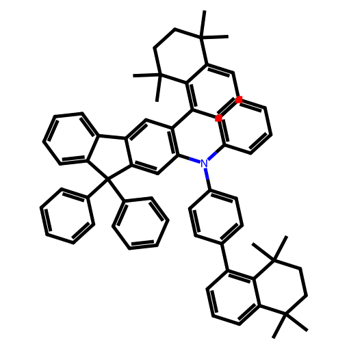 CC1(C)CCC(C)(C)c2c(-c3ccc(N(c4ccccc4)c4cc5c(cc4-c4cccc6c4C(C)(C)CCC6(C)C)-c4ccccc4C5(c4ccccc4)c4ccccc4)cc3)cccc21